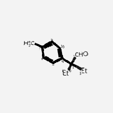 CCC(C=O)(CC)c1ccc(C)cc1